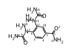 NC(=O)c1ccc(N(N)C(N)=O)c(N(N)C(N)=O)c1